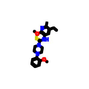 CCc1cc(NC(=S)N2CCN(c3ccccc3OC)CC2)c(OC)nc1C